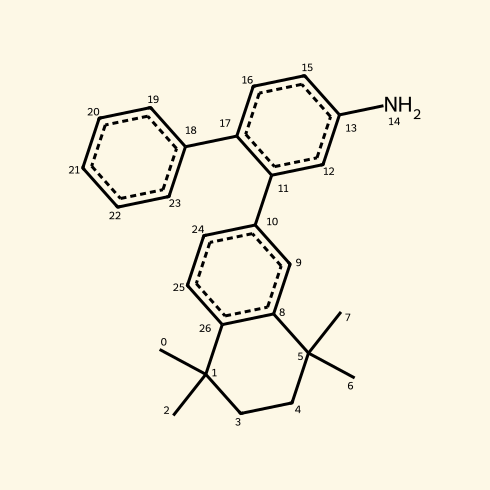 CC1(C)CCC(C)(C)c2cc(-c3cc(N)ccc3-c3ccccc3)ccc21